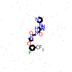 O=C(NCC(=O)N1CC(Oc2cc(F)cc(C(F)(F)F)c2)C1)c1cn(-c2cccnc2)nn1